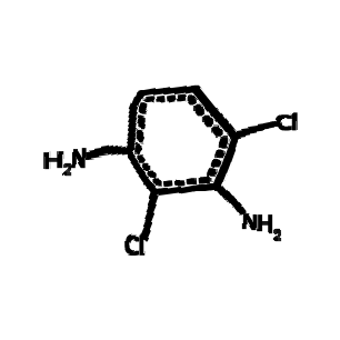 Nc1ccc(Cl)c(N)c1Cl